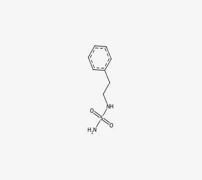 NS(=O)(=O)NCCc1ccccc1